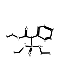 CCOC(=O)C(c1ccccc1)P(=O)(OCC)OCC